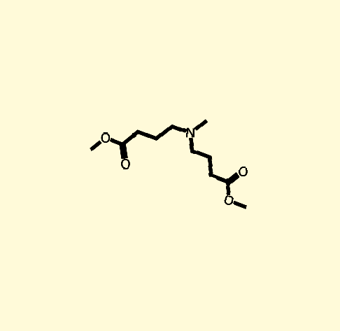 COC(=O)CCCN(C)CCCC(=O)OC